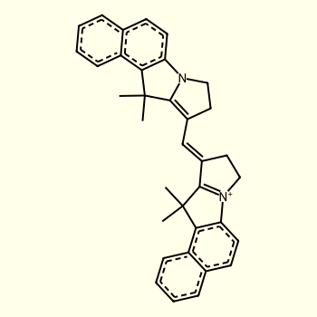 CC1(C)C2=C(C=C3CC[N+]4=C3C(C)(C)c3c4ccc4ccccc34)CCN2c2ccc3ccccc3c21